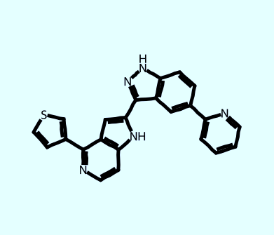 c1ccc(-c2ccc3[nH]nc(-c4cc5c(-c6ccsc6)nccc5[nH]4)c3c2)nc1